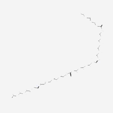 O=C(NCSCSCSC/N=C\[S+]([O-])CSCSCSC(=O)NCSCSCSC/N=C/OOCSCSCO)OCSCSCO